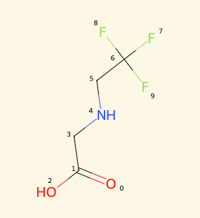 O=C(O)CNCC(F)(F)F